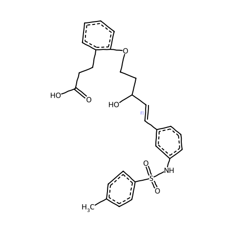 Cc1ccc(S(=O)(=O)Nc2cccc(/C=C/C(O)CCOc3ccccc3CCC(=O)O)c2)cc1